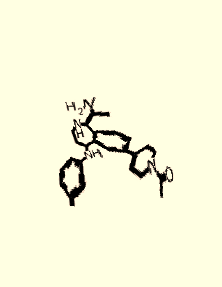 CC(=O)N1CC=C(c2ccc3c(c2)C(Nc2cccc(C)c2)CCN/C3=C(/C)N)CC1